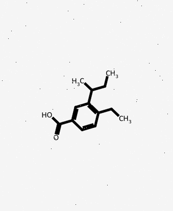 CCc1ccc(C(=O)O)cc1C(C)CC